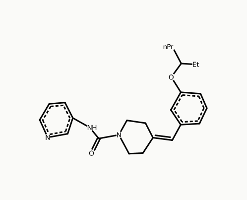 CCCC(CC)Oc1cccc(C=C2CCN(C(=O)Nc3cccnc3)CC2)c1